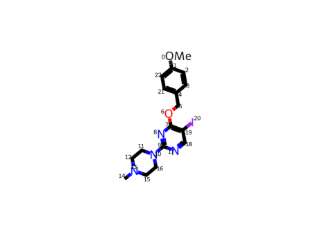 COc1ccc(COc2nc(N3CCN(C)CC3)ncc2I)cc1